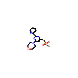 CCC(C)S(=O)(=O)Cc1cc(N2CCOCC2)nc(-c2ccccn2)n1